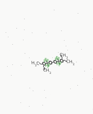 C=CCc1ccc(C(c2ccc(-c3ccc(C(c4ccc(CC=C)c(CC=C)c4)(C(F)(F)F)C(F)(F)F)cc3)cc2)(C(F)(F)F)C(F)(F)F)cc1CC=C